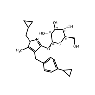 Cc1c(Cc2ccc(C3CC3)cc2)c(O[C@@H]2O[C@H](CO)[C@@H](O)[C@H](O)[C@H]2O)nn1CC1CC1